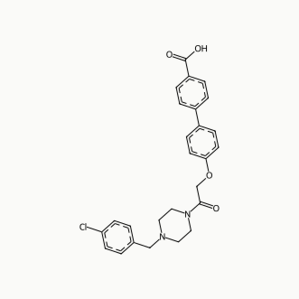 O=C(O)c1ccc(-c2ccc(OCC(=O)N3CCN(Cc4ccc(Cl)cc4)CC3)cc2)cc1